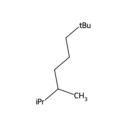 CC(C)C(C)CCCC(C)(C)C